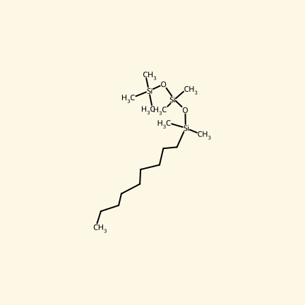 CCCCCCCCC[Si](C)(C)O[Si](C)(C)O[Si](C)(C)C